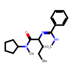 CCOC(=O)NC(=NC(CCC(C)(C)C)C(=O)N(C#N)C1CCCC1)c1ccccc1